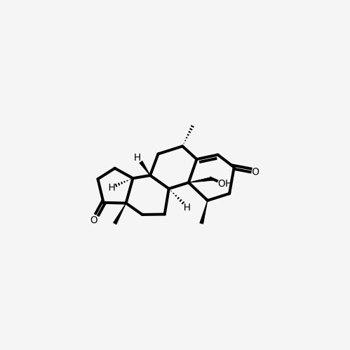 C[C@@H]1CC(=O)C=C2[C@@H](C)C[C@@H]3[C@H](CC[C@]4(C)C(=O)CC[C@@H]34)[C@]21CO